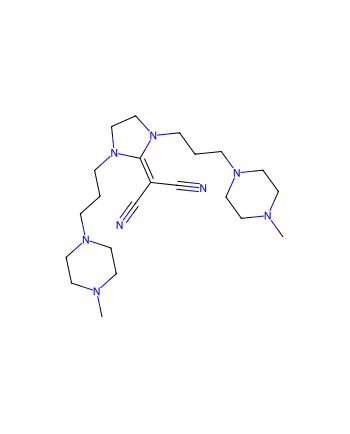 CN1CCN(CCCN2CCN(CCCN3CCN(C)CC3)C2=C(C#N)C#N)CC1